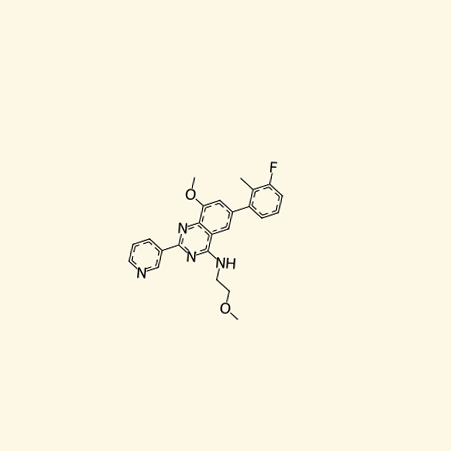 COCCNc1nc(-c2cccnc2)nc2c(OC)cc(-c3cccc(F)c3C)cc12